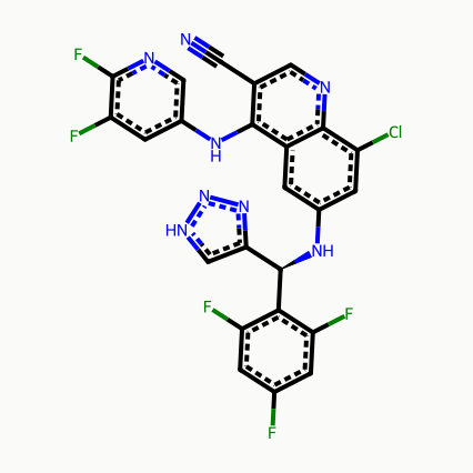 N#Cc1cnc2c(Cl)cc(N[C@H](c3c[nH]nn3)c3c(F)cc(F)cc3F)cc2c1Nc1cnc(F)c(F)c1